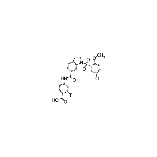 COc1ccc(Cl)cc1S(=O)(=O)N1CCc2ccc(C(=O)Nc3ccc(C(=O)O)c(F)c3)cc21